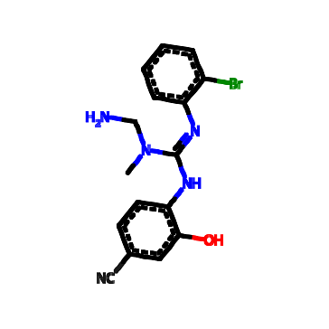 CN(CN)C(=Nc1ccccc1Br)Nc1ccc(C#N)cc1O